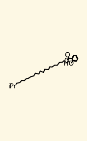 CC(C)CCCCCCCCCCCCCCCCCCCCCOC(=O)c1ccccc1O